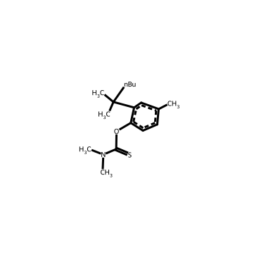 CCCCC(C)(C)c1cc(C)ccc1OC(=S)N(C)C